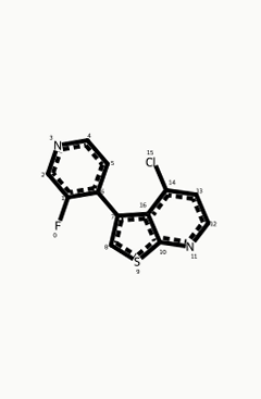 Fc1cnccc1-c1csc2nccc(Cl)c12